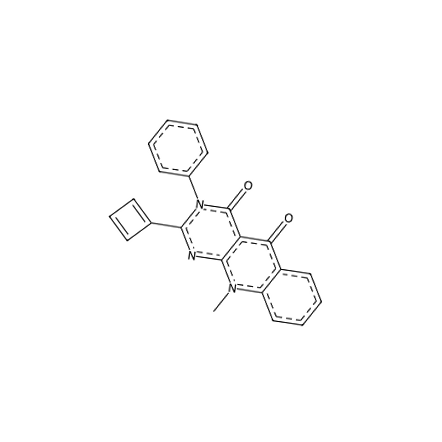 Cn1c2ccccc2c(=O)c2c(=O)n(-c3ccccc3)c(C3=CC=C3)nc21